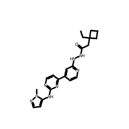 CCC1(CC(=O)NNc2cc(-c3ccnc(Nc4ccnn4C)n3)ccn2)CCC1